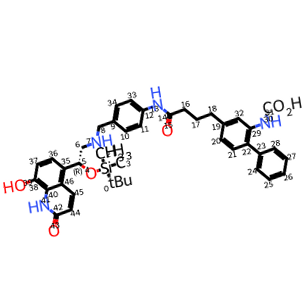 CC(C)(C)[Si](C)(C)O[C@@H](CNCc1ccc(NC(=O)CCCc2ccc(-c3ccccc3)c(NC(=O)O)c2)cc1)c1ccc(O)c2[nH]c(=O)ccc12